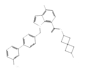 COc1cccc(-c2ccc(Cn3ccc4c(F)ccc(C(=O)NC5CC6(C5)CC(C(=O)O)C6)c43)cc2)c1